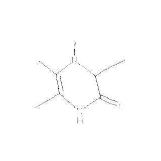 CC1=C(C)N(C)C(C)C(=O)N1